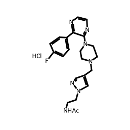 CC(=O)NCCn1cc(CN2CCN(c3nccnc3-c3ccc(F)cc3)CC2)cn1.Cl